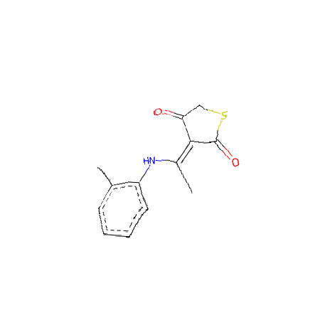 CC(Nc1ccccc1C)=C1C(=O)CSC1=O